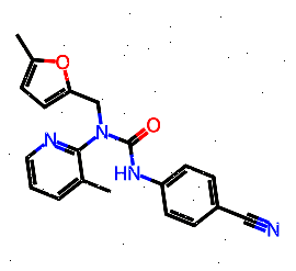 Cc1ccc(CN(C(=O)Nc2ccc(C#N)cc2)c2ncccc2C)o1